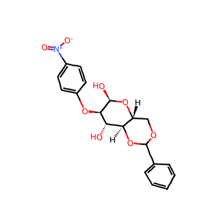 O=[N+]([O-])c1ccc(O[C@@H]2[C@@H](O)[C@@H]3OC(c4ccccc4)OC[C@H]3O[C@@H]2O)cc1